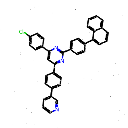 Clc1ccc(-c2cc(-c3ccc(-c4cccnc4)cc3)nc(-c3ccc(-c4cccc5ccccc45)cc3)n2)cc1